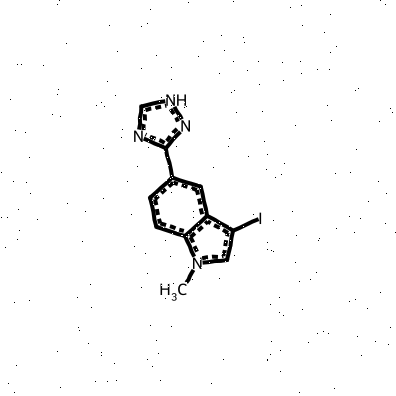 Cn1cc(I)c2cc(-c3nc[nH]n3)ccc21